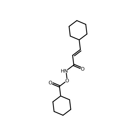 O=C(C=CC1CCCCC1)NOC(=O)C1CCCCC1